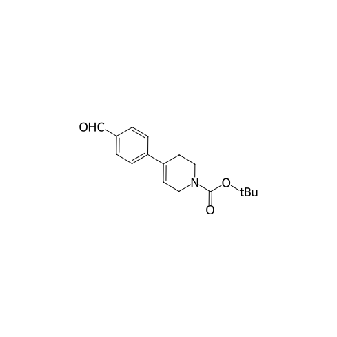 CC(C)(C)OC(=O)N1CC=C(c2ccc(C=O)cc2)CC1